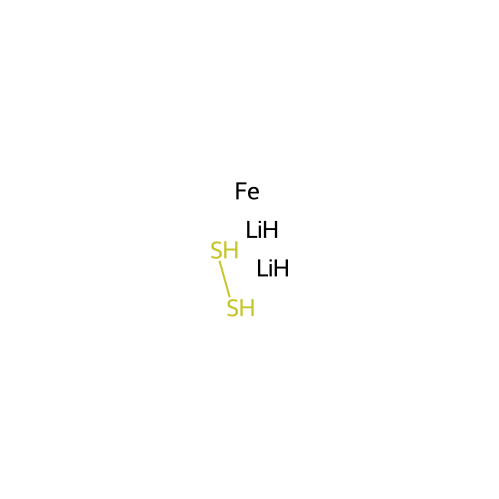 SS.[Fe].[LiH].[LiH]